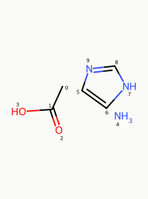 CC(=O)O.N.c1c[nH]cn1